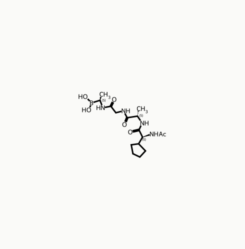 CC(=O)N[C@H](C(=O)N[C@@H](C)C(=O)NCC(=O)N[C@H](C)B(O)O)C1CCCC1